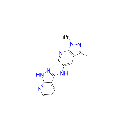 Cc1nn(C(C)C)c2ncc(Nc3n[nH]c4ncccc34)cc12